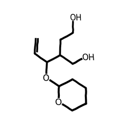 C=CC(OC1CCCCO1)C(CO)CCO